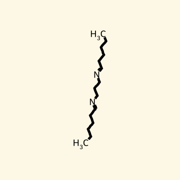 CCCCCC=NCCCN=CCCCCC